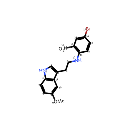 COc1ccc2[nH]cc(CCNc3ccc(Br)cc3[N+](=O)[O-])c2c1